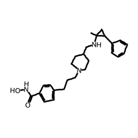 CC1(NCC2CCN(CCCc3ccc(C(=O)NO)cc3)CC2)CC1c1ccccc1